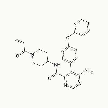 C=CC(=O)N1CCC(NC(=O)c2ncnc(N)c2-c2ccc(Oc3ccccc3)cc2)CC1